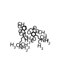 COc1cc2c(c(OC)c1CCC(C)(C)N)C(=O)C[C@@H](c1ccc(OC)c(OC)c1C/C=C(\C)CCCC(C)(C)N)O2